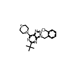 CC(C)(C)c1nc(N2CCSCC2)c2nnn(Cc3ccccc3Cl)c2n1